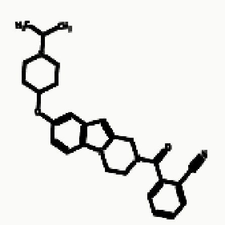 CC(C)N1CCC(Oc2ccc3c(c2)cc2n3CCN(C(=O)c3ccccc3C#N)C2)CC1